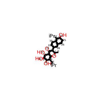 Cc1oc2c(CC(C)C)c(O)c(O)c(O)c2c(=O)c1-c1ccc2c(C(C)C)c(O)ccc2c1